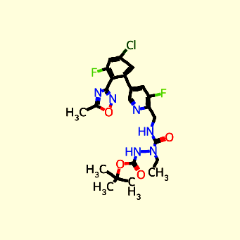 CCN(NC(=O)OC(C)(C)C)C(=O)NCc1ncc(-c2cc(Cl)cc(F)c2-c2noc(C)n2)cc1F